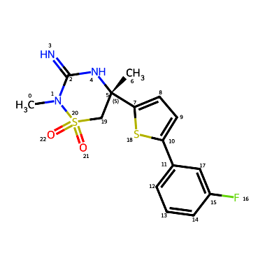 CN1C(=N)N[C@](C)(c2ccc(-c3cccc(F)c3)s2)CS1(=O)=O